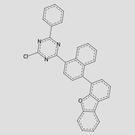 Clc1nc(-c2ccccc2)nc(-c2ccc(-c3cccc4c3oc3ccccc34)c3ccccc23)n1